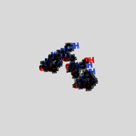 Cn1c(=O)c2c(nc(N3CCCNCC3)n2CC(=O)N2CCCC2)n(C)c1=O.Cn1c(=O)c2c(nc(N3CCNC(CO)C3)n2Cc2ccccc2)n(C)c1=O.Cn1c(=O)c2c(nc(N3CCNCC(Cc4ccccn4)C3)n2Cc2ccccc2Br)n(C)c1=O.Cn1c(=O)c2c(nc(N3CCNCC(Cc4ccccn4)C3)n2Cc2ccccc2I)n(C)c1=O